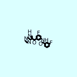 O=C(Nc1cc(F)cc(C(=O)C2=CNC3N=CC=NC23)c1)c1cccc(F)c1